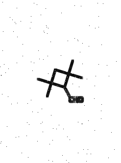 CC1(C)CC(C)(C)C1C=O